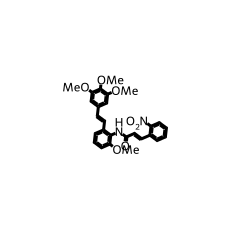 COc1cccc(/C=C/c2cc(OC)c(OC)c(OC)c2)c1NC(=O)/C=C/c1ccccc1[N+](=O)[O-]